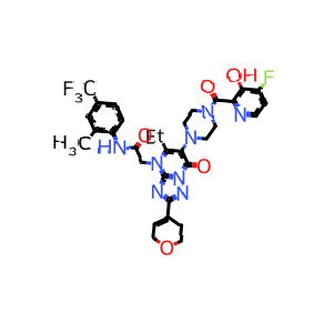 CCc1c(N2CCN(C(=O)c3nccc(F)c3O)CC2)c(=O)n2nc(C3=CCOCC3)nc2n1CC(=O)Nc1ccc(C(F)(F)F)cc1C